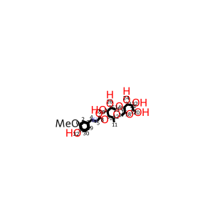 COc1cc(/C=C/C(=O)OC2C(C)OC(OC3C(C)OC(O)C(O)C3O)C(O)C2O)ccc1O